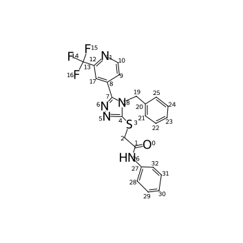 O=C(CSc1nnc(-c2ccnc(C(F)(F)F)c2)n1Cc1ccccc1)Nc1ccccc1